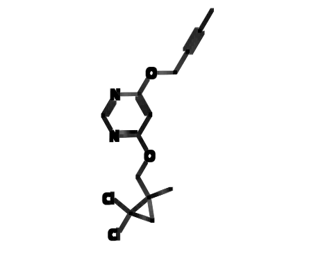 CC#CCOc1cc(OCC2(C)CC2(Cl)Cl)ncn1